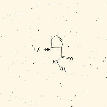 CNC(=O)C1C=CSC1NC